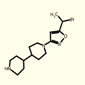 CC(C)C(C)c1cc(N2CCC(C3CCNCC3)CC2)no1